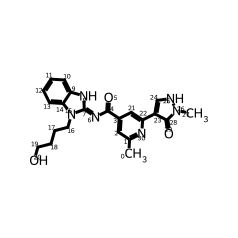 Cc1cc(C(=O)/N=c2\[nH]c3ccccc3n2CCCCO)cc(-c2c[nH]n(C)c2=O)n1